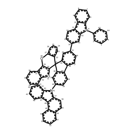 c1ccc(-n2c3ccccc3c3ccc(-c4ccc5c(c4)C4(c6ccccc6Oc6c4oc4ccccc64)c4cc(-n6c7ccccc7c7c8ccccc8ccc76)ccc4-5)cc32)cc1